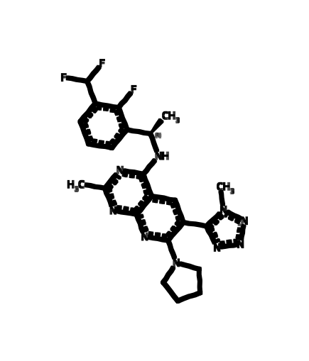 Cc1nc(N[C@H](C)c2cccc(C(F)F)c2F)c2cc(-c3nnnn3C)c(N3CCCC3)nc2n1